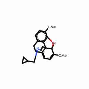 COC1=CC=C2C3Cc4ccc(OC)c5c4C2(CCN3CC2CC2)[C@@H]1O5